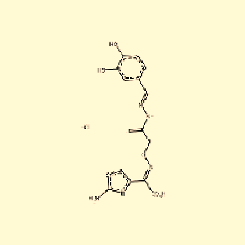 Cl.Nc1nc(C(=NOCC(=O)NN=Cc2ccc(O)c(O)c2)C(=O)O)cs1